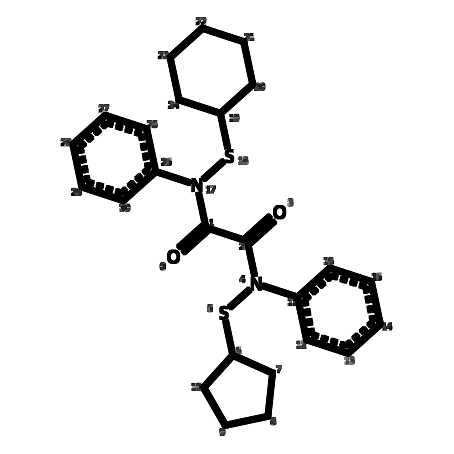 O=C(C(=O)N(SC1CCCC1)c1ccccc1)N(SC1CCCCC1)c1ccccc1